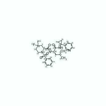 CC(C)C[C@@H](NC(=O)[C@@H]1CC(F)(F)CCN1S(=O)(=O)c1ccccc1)C(=O)NC1(c2cccnc2)CC1